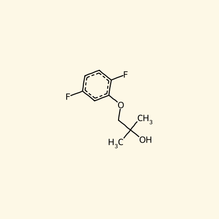 CC(C)(O)COc1cc(F)ccc1F